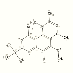 COc1c(OC)c(N(C)C(C)=O)c2c(N)nc(C(C)(C)C)nc2c1F